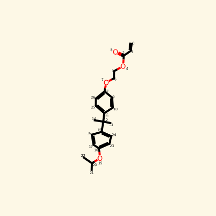 C=CC(=O)OCCOc1ccc(C(C)(C)c2ccc(OC(C)C)cc2)cc1